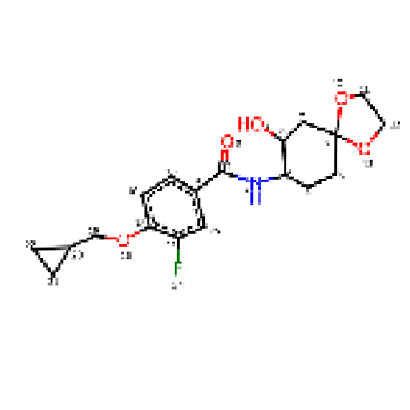 O=C(NC1CCC2(CC1O)OCCO2)c1ccc(OCC2CC2)c(F)c1